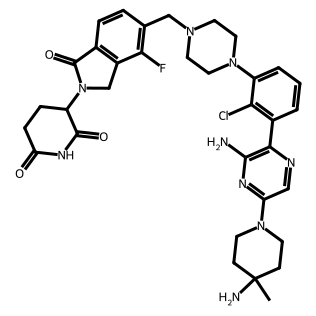 CC1(N)CCN(c2cnc(-c3cccc(N4CCN(Cc5ccc6c(c5F)CN(C5CCC(=O)NC5=O)C6=O)CC4)c3Cl)c(N)n2)CC1